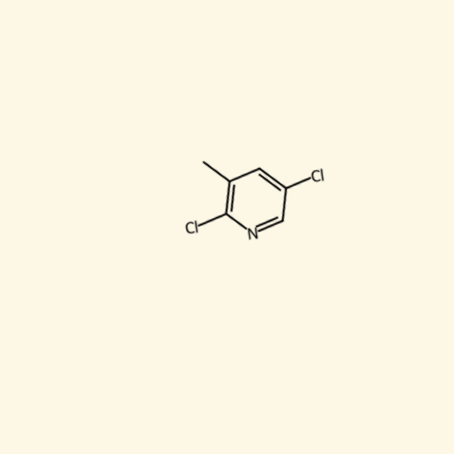 Cc1cc(Cl)cnc1Cl